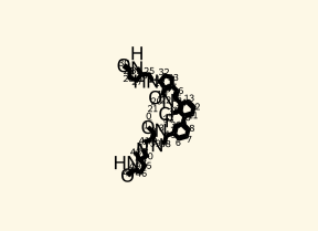 COc1nc(-c2cccc(-c3cccc(-c4cc5c(c(OC)n4)C(NCC4CCC(=O)N4)CC5)c3Cl)c2F)cnc1CN1CC2(CCC(=O)N2)C1